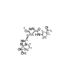 COc1nnc(C(=O)Nc2cccc(C(C)=O)c2)cc1C#Cc1nnc2c(C(=O)O)cccn12